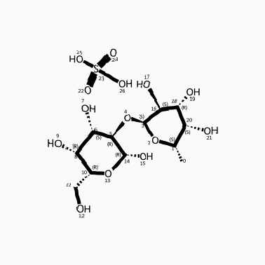 C[C@@H]1O[C@@H](O[C@@H]2[C@@H](O)[C@@H](O)[C@@H](CO)O[C@H]2O)[C@@H](O)[C@H](O)[C@@H]1O.O=S(=O)(O)O